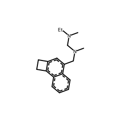 CCN(C)CN(C)Cc1cc2c(c3ccccc13)CC2